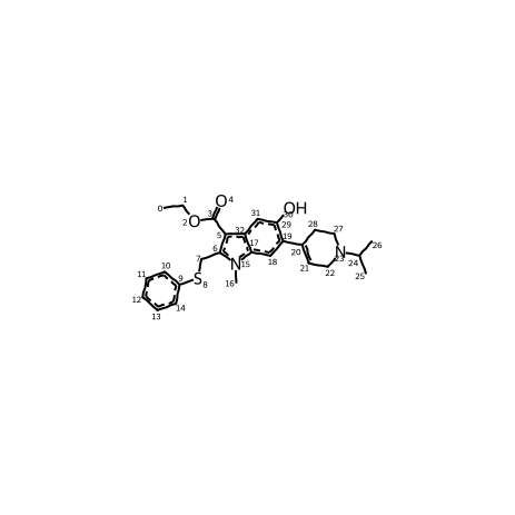 CCOC(=O)c1c(CSc2ccccc2)n(C)c2cc(C3=CCN(C(C)C)CC3)c(O)cc12